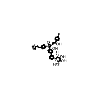 O=C1[C@H](CC[C@H](O)c2ccc(F)cc2)[C@@H](c2ccc(-c3cccc([C@@H]4O[C@H](CO)[C@@H](O)[C@H](O)[C@@H]4O)c3)cc2O)N1c1ccc(CCc2cncs2)cc1